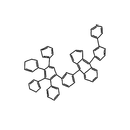 C1=CC(c2c(-c3ccccc3)cc(-c3cccc(-c4c5ccccc5c(-c5cccc(-c6ccncc6)c5)c5ccccc45)c3)c(-c3ccccc3)c2C2=CCCC=C2)=CCC1